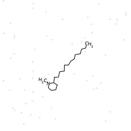 CCCCCCCCCCCCCC1CCCCN1C